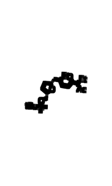 CCC(/C=C\C(=O)C(CC)C(C)=O)C[C@H]1CC[C@@H](CO[Si](C)(C)C(C)(C)C)O1